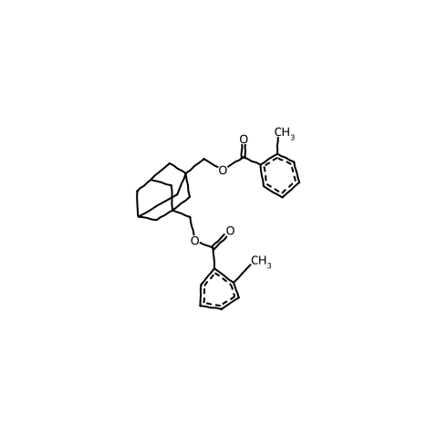 Cc1ccccc1C(=O)OCC12CC3CC(C1)CC(COC(=O)c1ccccc1C)(C3)C2